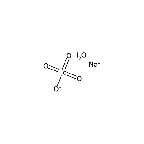 O.[Na+].[O]=[Tc](=[O])(=[O])[O-]